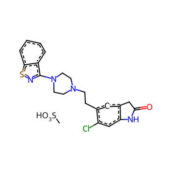 CS(=O)(=O)O.O=C1Cc2cc(CCN3CCN(c4nsc5ccccc45)CC3)c(Cl)cc2N1